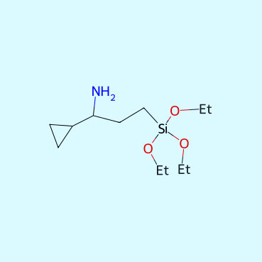 CCO[Si](CCC(N)C1CC1)(OCC)OCC